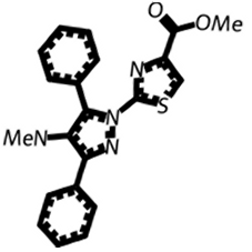 CNc1c(-c2ccccc2)nn(-c2nc(C(=O)OC)cs2)c1-c1ccccc1